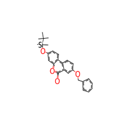 CC(C)(C)[Si](C)(C)Oc1ccc2c(c1)oc(=O)c1cc(OCc3ccccc3)ccc12